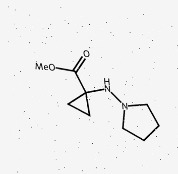 COC(=O)C1(NN2CCCC2)CC1